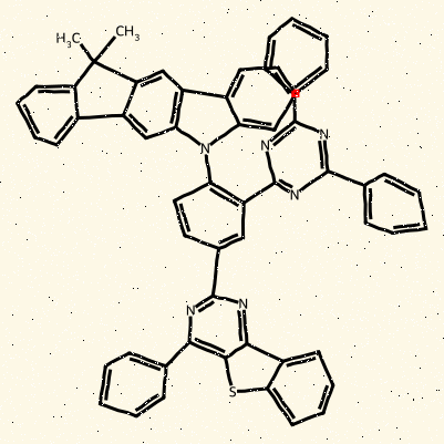 CC1(C)c2ccccc2-c2cc3c(cc21)c1ccccc1n3-c1ccc(-c2nc(-c3ccccc3)c3sc4ccccc4c3n2)cc1-c1nc(-c2ccccc2)nc(-c2ccccc2)n1